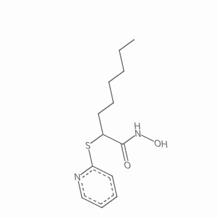 CCCCCCC(Sc1ccccn1)C(=O)NO